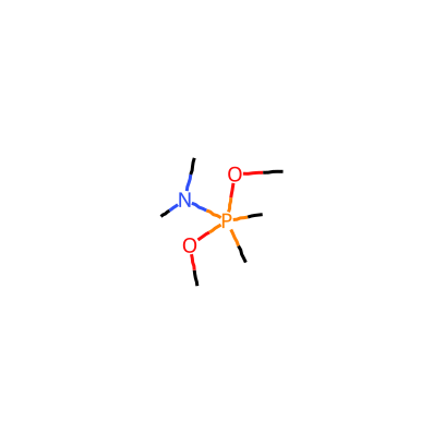 COP(C)(C)(OC)N(C)C